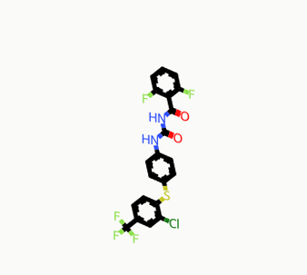 O=C(NC(=O)c1c(F)cccc1F)Nc1ccc(Sc2ccc(C(F)(F)F)cc2Cl)cc1